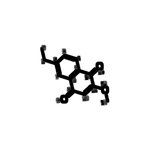 CCc1ccc2c(c1)C(=O)C=C(OC)C2=O